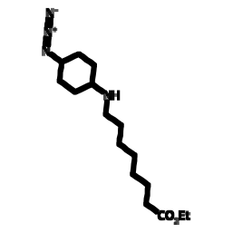 CCOC(=O)CCCCCCCNC1CCC(N=[N+]=[N-])CC1